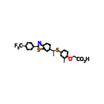 Cc1cc(SC(C)c2ccc3nc(-c4ccc(C(F)(F)F)cc4)sc3c2)ccc1OCC(=O)O